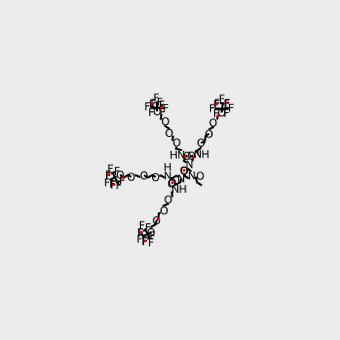 CCC(=O)N(CC(=O)N(CC(=O)NCCOCCOCCOCCOC(C(F)(F)F)(C(F)(F)F)C(F)(F)F)CC(=O)NCCOCCOCCOCCOC(C(F)(F)F)(C(F)(F)F)C(F)(F)F)CC(=O)N(CC(=O)NCCOCCOCCOCCOC(C(F)(F)F)(C(F)(F)F)C(F)(F)F)CC(=O)NCCOCCOCCOCCOC(C(F)(F)F)(C(F)(F)F)C(F)(F)F